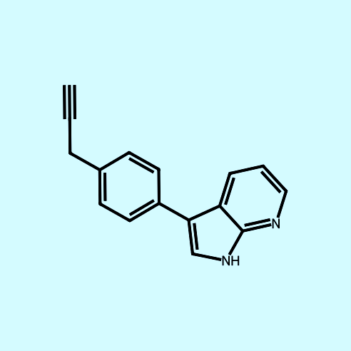 C#CCc1ccc(-c2c[nH]c3ncccc23)cc1